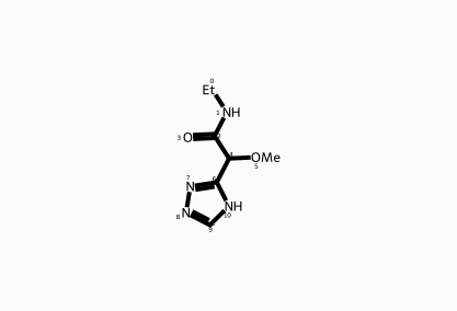 CCNC(=O)C(OC)c1nn[c][nH]1